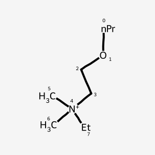 CCCOCC[N+](C)(C)CC